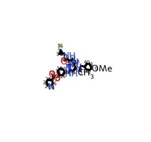 COc1ccc(CN(C)c2cc(Nc3cccc(OC(=O)c4cccnc4)c3)nn3c(C(=O)N[C@@H]4C[C@@H]4F)cnc23)cc1